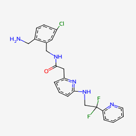 NCc1ccc(Cl)cc1CNC(=O)Cc1cccc(NCC(F)(F)c2ccccn2)n1